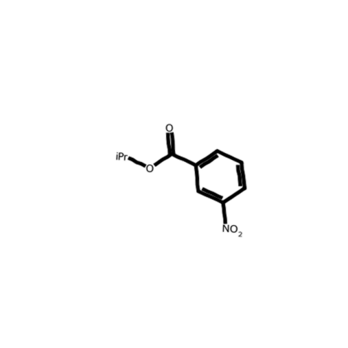 CC(C)OC(=O)c1cccc([N+](=O)[O-])c1